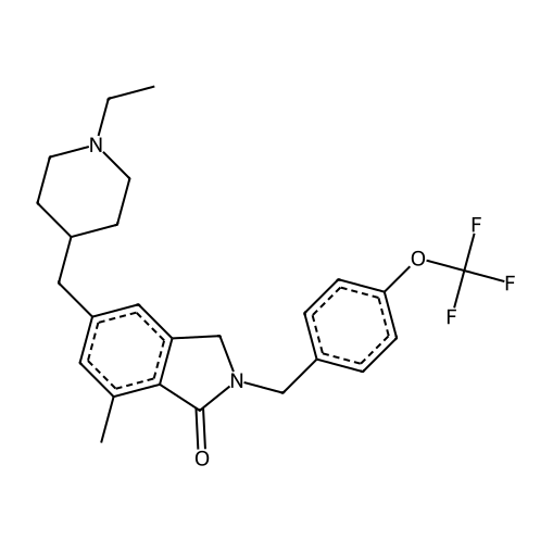 CCN1CCC(Cc2cc(C)c3c(c2)CN(Cc2ccc(OC(F)(F)F)cc2)C3=O)CC1